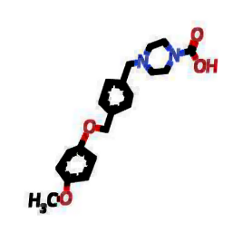 COc1ccc(OCc2ccc(CN3CCN(C(=O)O)CC3)cc2)cc1